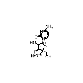 [N-]=[N+]=N[C@]1(CO)O[C@@H](n2ccc(N)nc2=O)[C@H](O)C1F